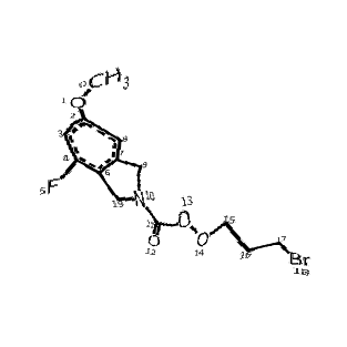 COc1cc(F)c2c(c1)CN(C(=O)OOCCCBr)C2